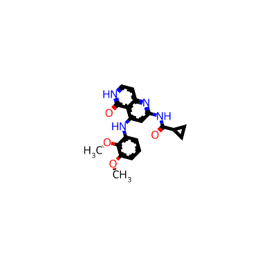 COc1cccc(Nc2cc(NC(=O)C3CC3)nc3cc[nH]c(=O)c23)c1OC